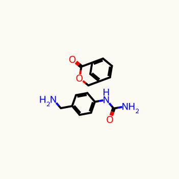 NCc1ccc(NC(N)=O)cc1.O=C1OCc2cccc1c2